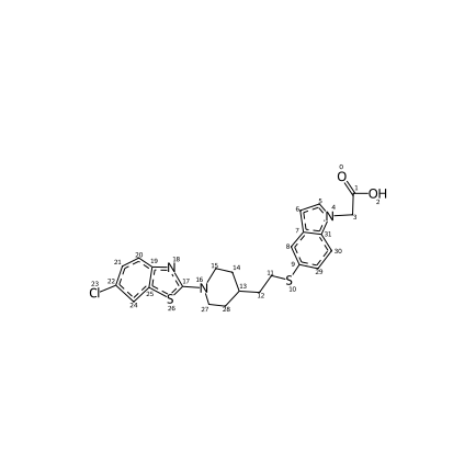 O=C(O)Cn1ccc2cc(SCCC3CCN(c4nc5ccc(Cl)cc5s4)CC3)ccc21